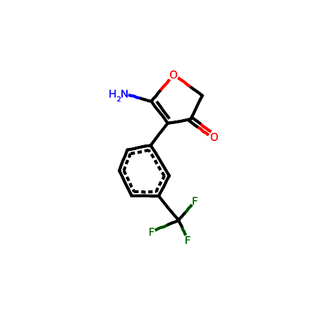 NC1=C(c2cccc(C(F)(F)F)c2)C(=O)CO1